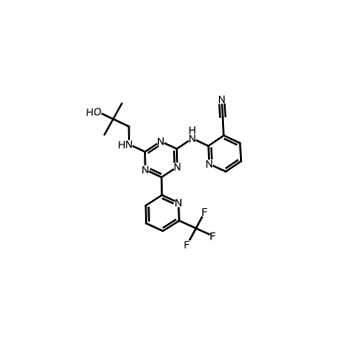 CC(C)(O)CNc1nc(Nc2ncccc2C#N)nc(-c2cccc(C(F)(F)F)n2)n1